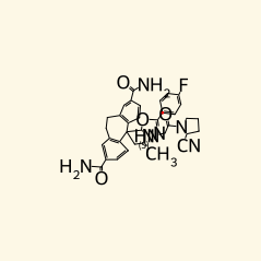 C[C@@H](CC1(c2nnc(-c3ccc(F)cc3)o2)c2ccc(C(N)=O)cc2CCc2cc(C(N)=O)ccc21)NCC(=O)N1CCCC1C#N